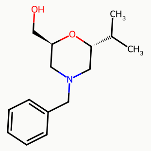 CC(C)[C@@H]1CN(Cc2ccccc2)C[C@@H](CO)O1